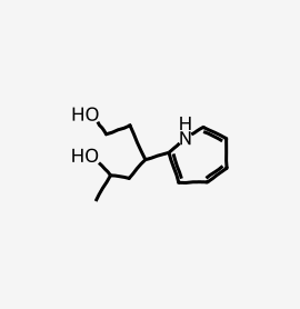 CC(O)CC(CCO)C1=CC=CC=CN1